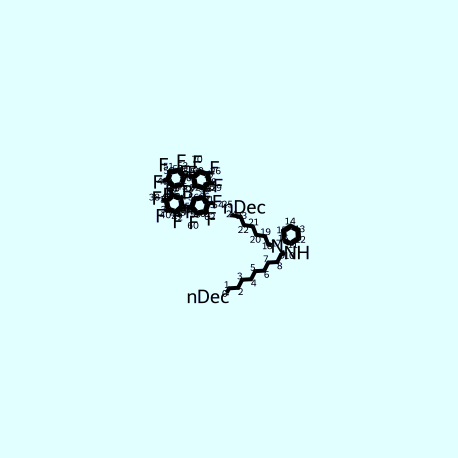 CCCCCCCCCCCCCCCCCCc1[nH]c2ccccc2[n+]1CCCCCCCCCCCCCCCCC.Fc1c(F)c(F)c([B-](c2c(F)c(F)c(F)c(F)c2F)(c2c(F)c(F)c(F)c(F)c2F)c2c(F)c(F)c(F)c(F)c2F)c(F)c1F